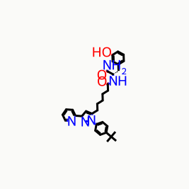 CC(C)(C)c1ccc(-n2nc(-c3ccccn3)cc2CCCCCC(=O)N[C@@H](Cc2cccc(O)c2)C(N)=O)cc1